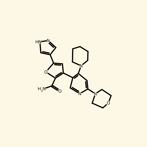 NC(=O)c1oc(-c2cn[nH]c2)cc1-c1cnc(N2CCOCC2)cc1N1CCCCC1